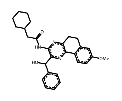 COc1ccc2c(c1)CCc1nc(NC(=O)CC3CCCCC3)c(C(O)c3ccccc3)nc1-2